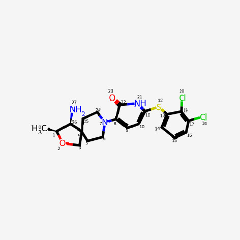 C[C@@H]1OCC2(CCN(c3ccc(Sc4cccc(Cl)c4Cl)[nH]c3=O)CC2)[C@@H]1N